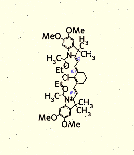 CCOC(C)N1/C(=C\C=C2/CCCC(/C=C/C3=[N+](C(C)OCC)c4cc(OC)c(OC)cc4C3(C)C)=C2Cl)C(C)(C)c2cc(OC)c(OC)cc21